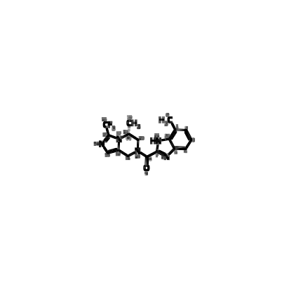 Cc1cccc2nc(C(=O)N3Cc4cnc(C(F)(F)F)n4[C@H](C)C3)[nH]c12